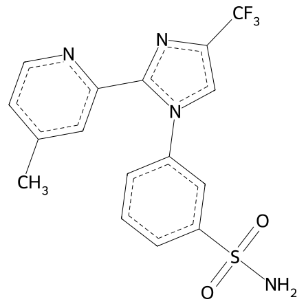 Cc1ccnc(-c2nc(C(F)(F)F)cn2-c2cccc(S(N)(=O)=O)c2)c1